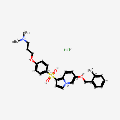 CCCCN(CCCC)CCCOc1ccc(S(=O)(=O)c2ccn3cc(OCc4ccccc4C(C)C)ccc23)cc1.Cl